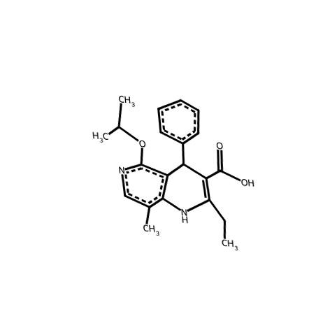 CCC1=C(C(=O)O)C(c2ccccc2)c2c(OC(C)C)ncc(C)c2N1